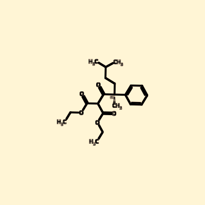 CCOC(=O)C(C(=O)OCC)C(=O)[C@@](C)(CCC(C)C)c1ccccc1